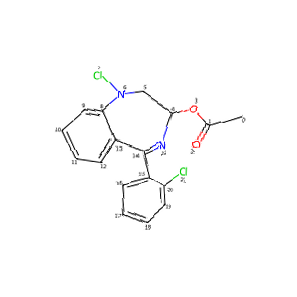 CC(=O)OC1CN(Cl)c2ccccc2C(c2ccccc2Cl)=N1